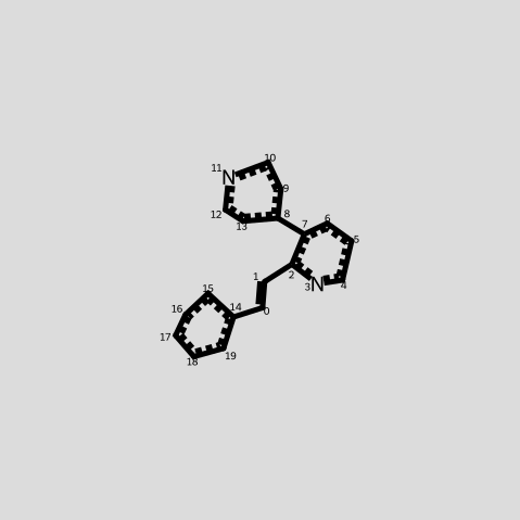 C(=C\c1ncccc1-c1ccncc1)/c1ccccc1